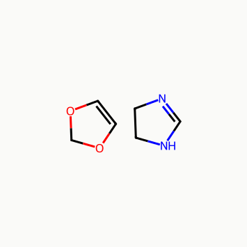 C1=COCO1.C1=NCCN1